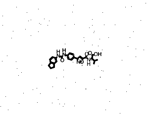 CC(C)[C@H](NC(=O)c1cc(-c2ccc(NC(=O)Nc3ccc4c(c3)CCC4)cc2)no1)C(=O)O